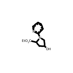 CCOC(=O)C1CC(O)CN1c1ccccn1